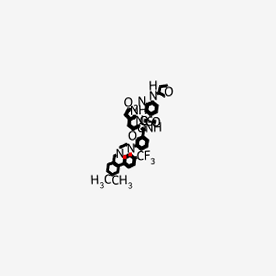 CC1(C)CCC(CN2CCN(c3cccc(C(=O)NS(=O)(=O)c4ccc(NC5CCOC5)c([N+](=O)[O-])c4)c3Oc3cnc4[nH]ccc4c3)CC2)=C(c2ccc(C(F)(F)F)cc2)C1